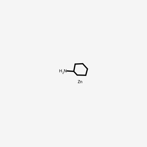 NC1CCCCC1.[Zn]